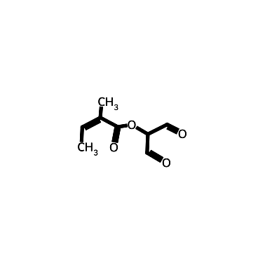 CC=C(C)C(=O)OC(C=O)C=O